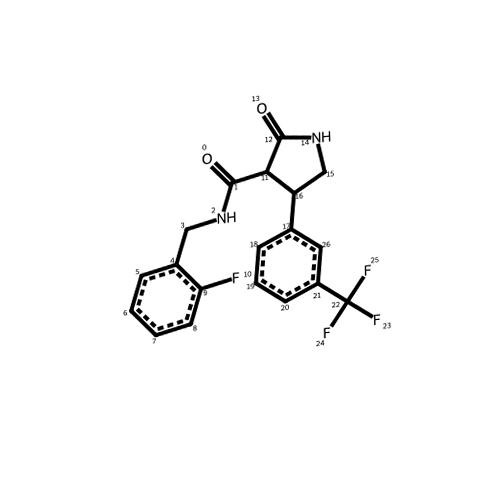 O=C(NCc1ccccc1F)C1C(=O)NCC1c1cccc(C(F)(F)F)c1